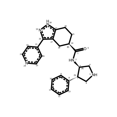 O=C(N[C@H]1CNC[C@@H]1c1ccccc1)[C@@H]1CCc2[nH]nc(-c3ccncc3)c2C1